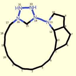 C1CCCCC2CCC3CCN(C3C2)N2CN(CCCC1)NN2